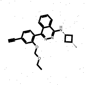 C#Cc1ccc(-c2nnc(N[C@H]3C[C@@H](C)C3)c3ccccc23)c(OCOCC)c1